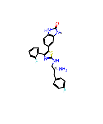 Cn1c(=O)[nH]c2ccc(-c3sc(NC[C@H](N)Cc4ccc(F)cc4)nc3-c3ccccc3F)cc21